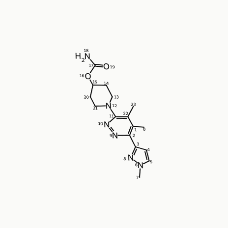 Cc1c(-c2ccn(C)n2)nnc(N2CCC(OC(N)=O)CC2)c1C